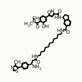 Cc1ncsc1-c1ccc([C@@H](N)CC(=O)NCCCCCCCCCCCNC(=O)c2ccc3c(c2)[C@H](NC(=O)c2cc(-c4ccc(C(=O)N(C)C)c(O)c4)on2)CC3)cc1